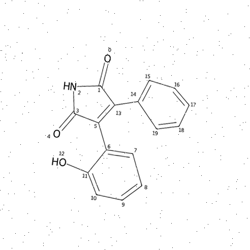 O=C1NC(=O)C(c2ccccc2O)=C1c1ccccc1